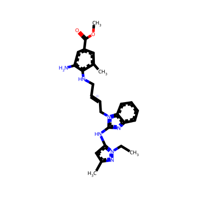 CCn1nc(C)cc1Nc1nc2ccccc2n1C/C=C/CNc1c(C)cc(C(=O)OC)cc1N